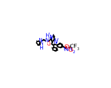 NC(OC(=O)C(F)(F)F)c1ccc(-c2nc3ccnc(C(=O)NCCc4nc5ccccc5[nH]4)c3cc2-c2ccccc2)cc1